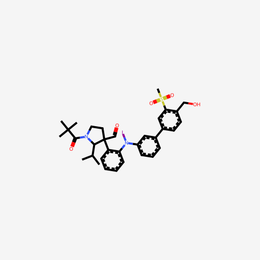 CC(C)C1N(C(=O)C(C)(C)C)CCC1(C=O)c1ccccc1N(I)c1cccc(-c2ccc(CO)c(S(C)(=O)=O)c2)c1